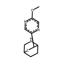 COc1cnc(C2CC3CCC2NC3)cn1